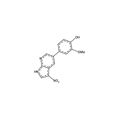 COc1cc(-c2cnc3[nH]cc([N+](=O)[O-])c3c2)ccc1O